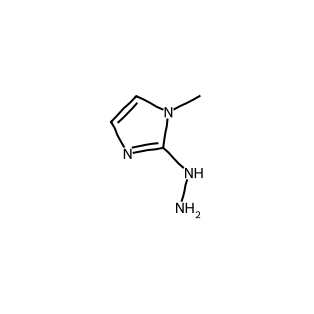 Cn1ccnc1NN